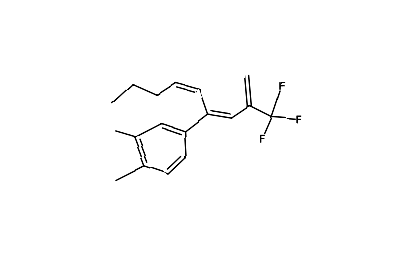 C=C(/C=C(\C=C/CCC)c1ccc(C)c(C)c1)C(F)(F)F